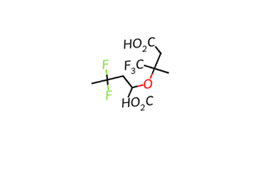 CC(F)(F)CC(OC(C)(CC(=O)O)C(F)(F)F)C(=O)O